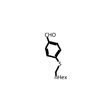 CCCCCCCSc1ccc(C=O)cc1